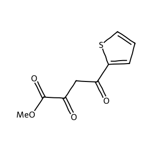 COC(=O)C(=O)CC(=O)c1cccs1